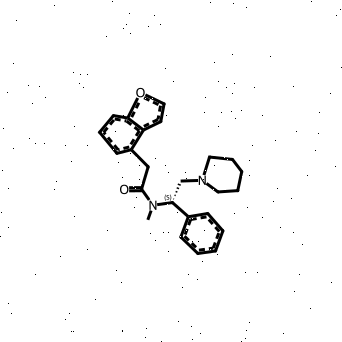 CN(C(=O)Cc1cccc2occc12)[C@H](CN1CCCCC1)c1ccccc1